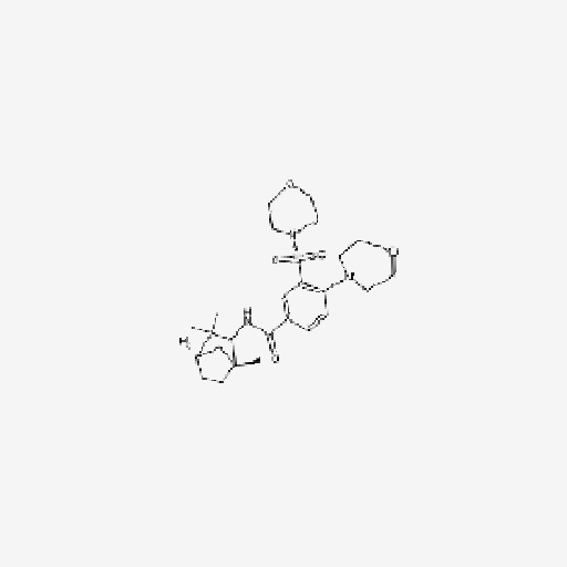 CC1(C)C(NC(=O)c2ccc(N3CCOCC3)c(S(=O)(=O)N3CCOCC3)c2)[C@]2(C)CC[C@@H]1C2